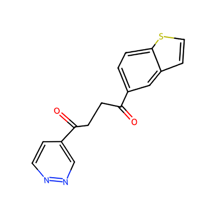 O=C(CCC(=O)c1ccc2sccc2c1)c1ccnnc1